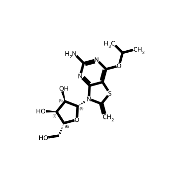 C=C1Sc2c(OC(C)C)nc(N)nc2N1[C@@H]1O[C@H](CO)[C@@H](O)[C@H]1O